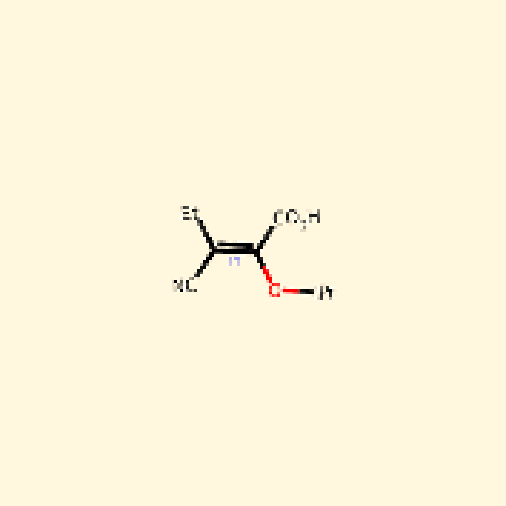 CC/C(C#N)=C(/OC(C)C)C(=O)O